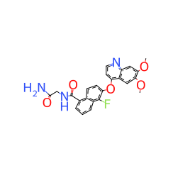 COc1cc2nccc(Oc3ccc4c(C(=O)NCC(N)=O)cccc4c3F)c2cc1OC